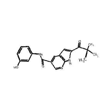 CC(C)(C)C(=O)c1cc2cc(C(=O)Nc3cccc(O)c3)cnc2[nH]1